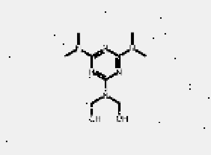 CN(C)c1nc(N(C)C)nc(N(CO)CO)n1